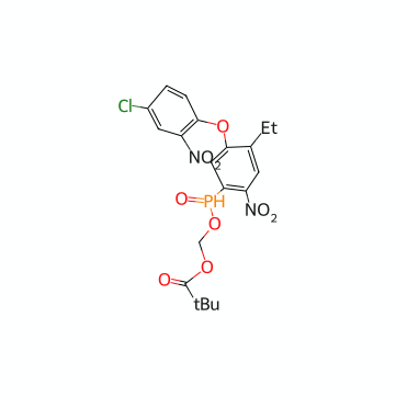 CCc1cc([N+](=O)[O-])c([PH](=O)OCOC(=O)C(C)(C)C)cc1Oc1ccc(Cl)cc1[N+](=O)[O-]